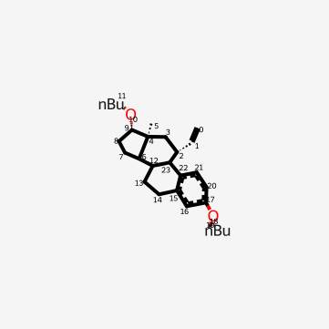 C=C[C@H]1C[C@@]2(C)C(CC[C@@H]2OCCCC)C2CCc3cc(OCCCC)ccc3C21